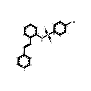 O=S(=O)(Nc1ccccc1/C=C/c1ccncc1)c1ccc(F)cc1